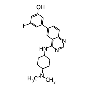 CN(C)C1CCC(Nc2ncnc3ccc(-c4cc(O)cc(F)c4)cc23)CC1